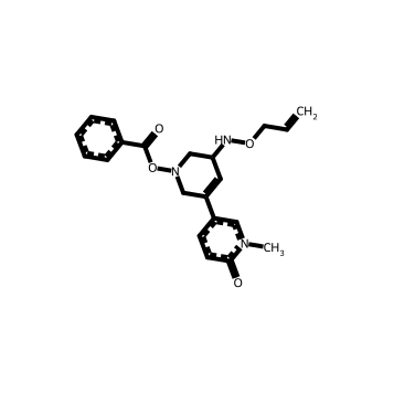 C=CCONC1C=C(c2ccc(=O)n(C)c2)CN(OC(=O)c2ccccc2)C1